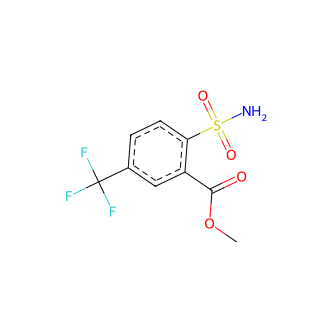 COC(=O)c1cc(C(F)(F)F)ccc1S(N)(=O)=O